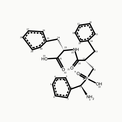 N[C@@H](c1ccccc1)P(=O)(O)C[C@@H](Cc1ccccc1)C(=O)N[C@@H](Cc1ccccc1)C(=O)O